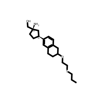 CCCSCCOC1CCc2cc([C@H]3CC[C@](N)(CO)C3)ccc2C1